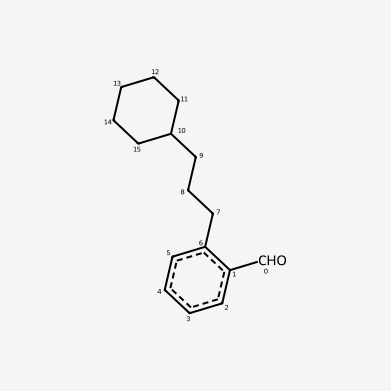 O=Cc1ccccc1CCCC1CCCCC1